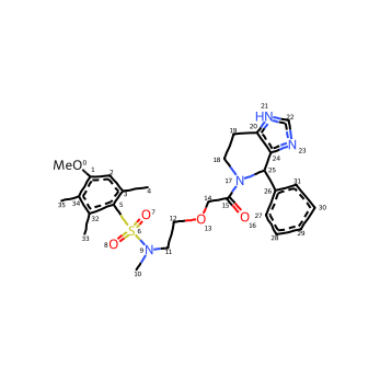 COc1cc(C)c(S(=O)(=O)N(C)CCOCC(=O)N2CCc3[nH]cnc3C2c2ccccc2)c(C)c1C